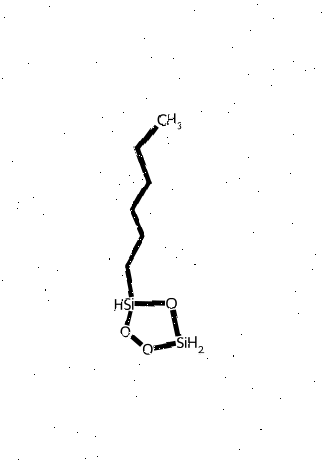 CCCCCC[SiH]1OO[SiH2]O1